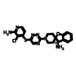 Nc1nccc(Sc2cnc(N3CCC4(CC3)Oc3ccccc3[C@H]4N)nn2)c1Cl